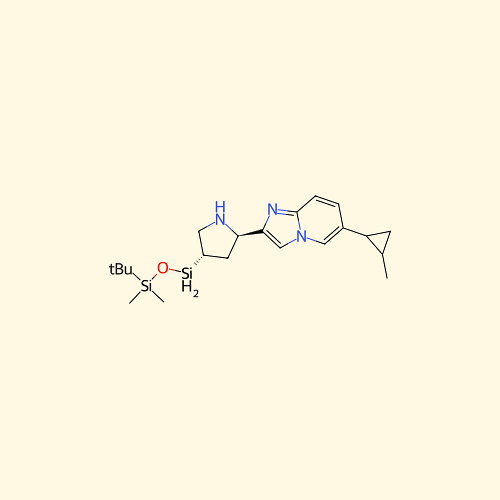 CC1CC1c1ccc2nc([C@H]3C[C@H]([SiH2]O[Si](C)(C)C(C)(C)C)CN3)cn2c1